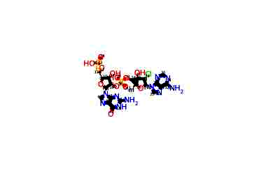 Nc1nc2c(ncn2[C@@H]2O[C@H](CO[PH](=O)O)[C@@H](O)[C@H]2OP(=O)(O)OC2[C@H]3O[C@@H](n4cnc5c(N)ncnc54)[C@@H](Cl)[C@@]23O)c(=O)[nH]1